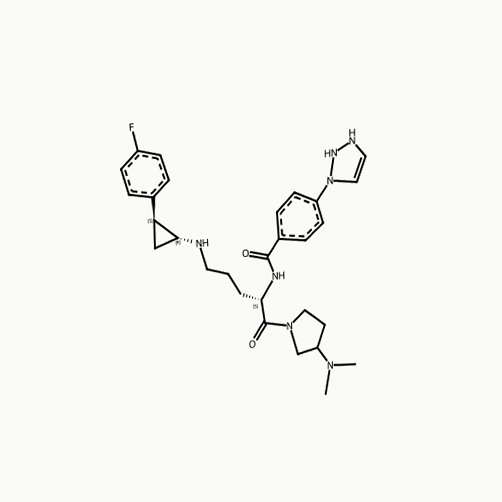 CN(C)C1CCN(C(=O)[C@H](CCCN[C@@H]2C[C@H]2c2ccc(F)cc2)NC(=O)c2ccc(N3C=CNN3)cc2)C1